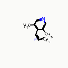 C/C=C\c1c(C)cncc1C